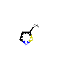 Cc1[c][c]ns1